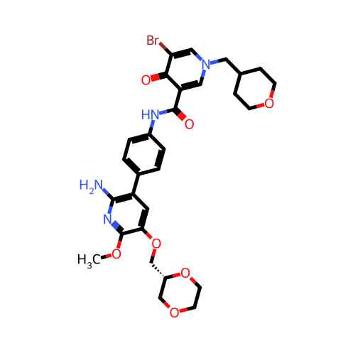 COc1nc(N)c(-c2ccc(NC(=O)c3cn(CC4CCOCC4)cc(Br)c3=O)cc2)cc1OC[C@H]1COCCO1